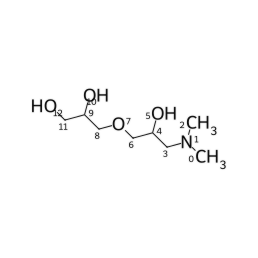 CN(C)CC(O)COCC(O)CO